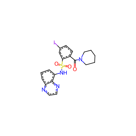 O=C(c1ccc(I)cc1S(=O)(=O)Nc1cccc2nccnc12)N1CCCCC1